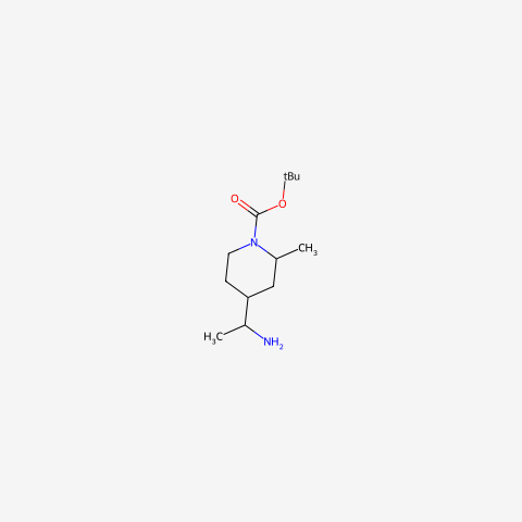 CC(N)C1CCN(C(=O)OC(C)(C)C)C(C)C1